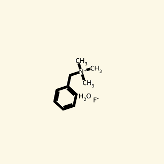 C[N+](C)(C)Cc1ccccc1.O.[F-]